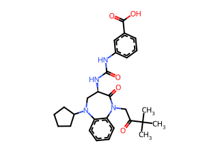 CC(C)(C)C(=O)CN1C(=O)[C@H](NC(=O)Nc2cccc(C(=O)O)c2)CN(C2CCCC2)c2ccccc21